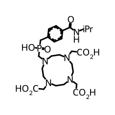 CC(C)NC(=O)c1ccc(CP(=O)(O)CN2CCN(CC(=O)O)CCN(CC(=O)O)CCN(CC(=O)O)CC2)cc1